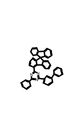 C1=CC2=C(CC1)C1(c3ccccc32)c2ccccc2-c2c(-c3nc(-c4ccccc4)nc(-c4cccc(-c5ccccc5)c4)n3)cccc21